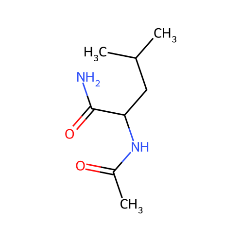 CC(=O)NC(CC(C)C)C(N)=O